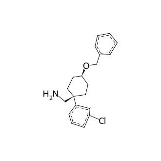 NC[C@]1(c2cccc(Cl)c2)CC[C@H](OCc2ccccc2)CC1